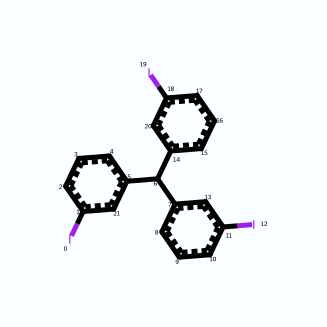 Ic1cccc([C](c2cccc(I)c2)c2cccc(I)c2)c1